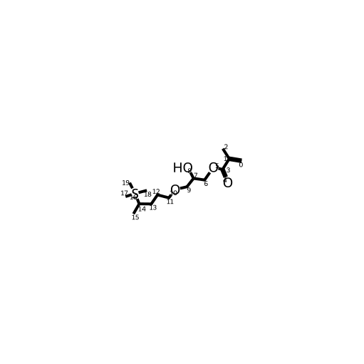 C=C(C)C(=O)OCC(O)COCCCC(C)S(C)(C)C